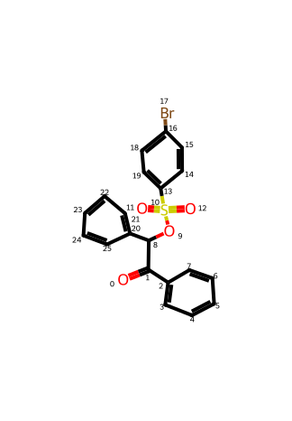 O=C(c1ccccc1)C(OS(=O)(=O)c1ccc(Br)cc1)c1ccccc1